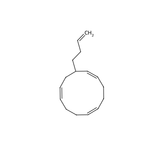 C=CCCC1C=CCCC=CCCC=CC1